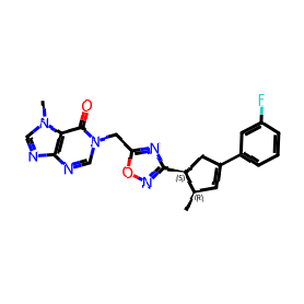 C[C@@H]1C=C(c2cccc(F)c2)C[C@@H]1c1noc(Cn2cnc3ncn(C)c3c2=O)n1